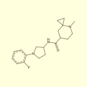 CN1CCC(C(=O)NC2CCN(c3ccccc3F)C2)CC12CC2